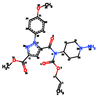 C=CCOC(=O)N(C(=O)c1cc(C(=O)OC)nn1-c1ccc(OC)cc1)C1CCN(N)CC1